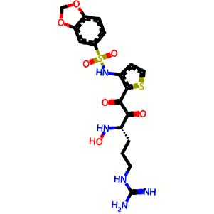 N=C(N)NCCC[C@H](NO)C(=O)C(=O)c1sccc1NS(=O)(=O)c1ccc2c(c1)OCO2